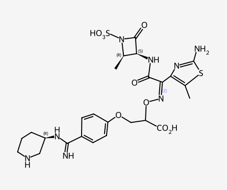 Cc1sc(N)nc1/C(=N/OC(COc1ccc(C(=N)N[C@@H]2CCCNC2)cc1)C(=O)O)C(=O)N[C@@H]1C(=O)N(S(=O)(=O)O)[C@@H]1C